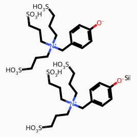 O=S(=O)(O)CCC[N+](CCCS(=O)(=O)O)(CCCS(=O)(=O)O)Cc1ccc([O-])cc1.O=S(=O)(O)CCC[N+](CCCS(=O)(=O)O)(CCCS(=O)(=O)O)Cc1ccc([O-])cc1.[Si]